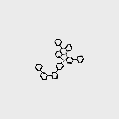 c1ccc(-c2cccc(-c3cccc(-c4ccc(N5c6ccc(-c7ccccc7)cc6B6c7ccccc7N(c7ccccc7)c7cccc5c76)cc4)c3)c2)cc1